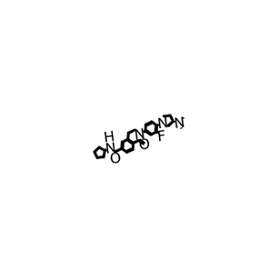 CN(C)[C@@H]1CCN(c2ccc(N3CCc4cc(C(=O)NC5CCCC5)ccc4C3=O)cc2F)C1